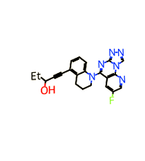 CCC(O)C#Cc1cccc2c1CCCN2c1nc2nncn2c2ncc(F)cc12